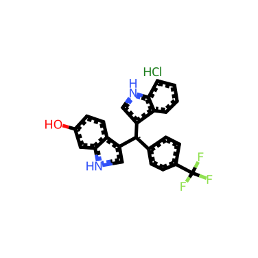 Cl.Oc1ccc2c([C](c3ccc(C(F)(F)F)cc3)c3c[nH]c4ccccc34)c[nH]c2c1